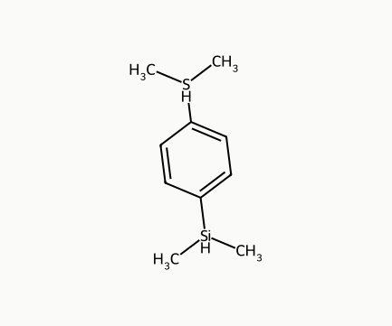 C[SiH](C)c1ccc([SH](C)C)cc1